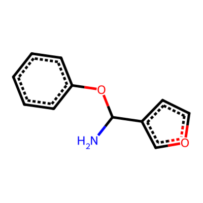 NC(Oc1ccccc1)c1ccoc1